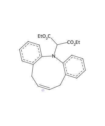 CCOC(=O)C(C(=O)OCC)N1c2ccccc2C/C=C\Cc2ccccc21